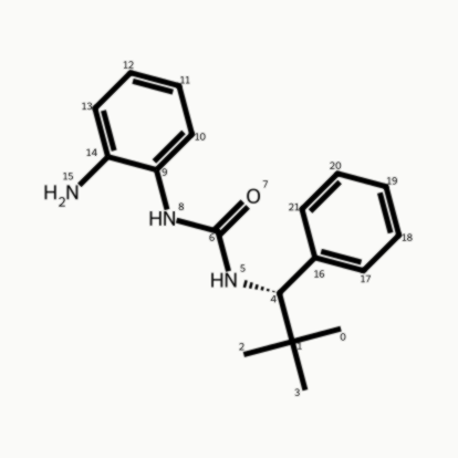 CC(C)(C)[C@H](NC(=O)Nc1ccccc1N)c1ccccc1